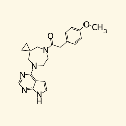 COc1ccc(CC(=O)N2CCN(c3ncnc4[nH]ccc34)CC3(CC3)C2)cc1